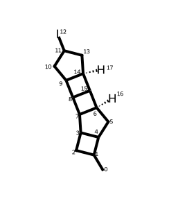 CC1CC2C1C[C@H]1C2C2C3CC(I)C[C@H]3C21